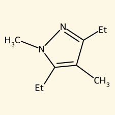 CCc1nn(C)c(CC)c1C